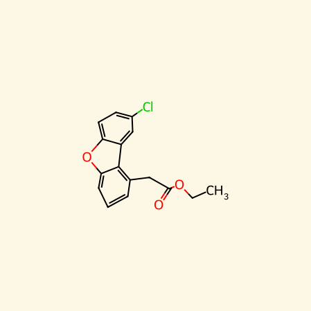 CCOC(=O)Cc1cccc2oc3ccc(Cl)cc3c12